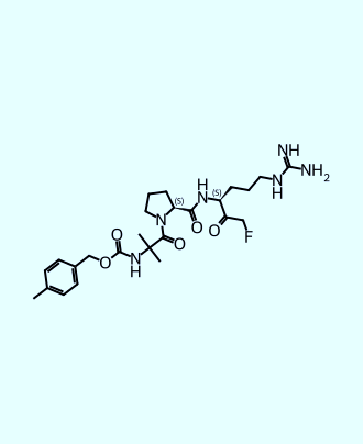 Cc1ccc(COC(=O)NC(C)(C)C(=O)N2CCC[C@H]2C(=O)N[C@@H](CCCNC(=N)N)C(=O)CF)cc1